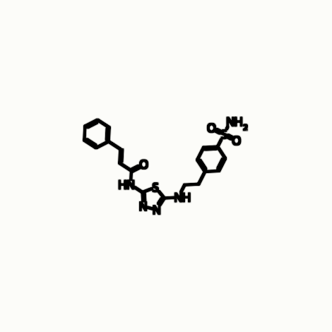 NS(=O)(=O)c1ccc(CCNc2nnc(NC(=O)C=Cc3ccccc3)s2)cc1